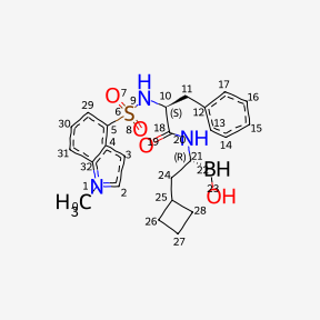 Cn1ccc2c(S(=O)(=O)N[C@@H](Cc3ccccc3)C(=O)N[C@H](BO)CC3CCC3)cccc21